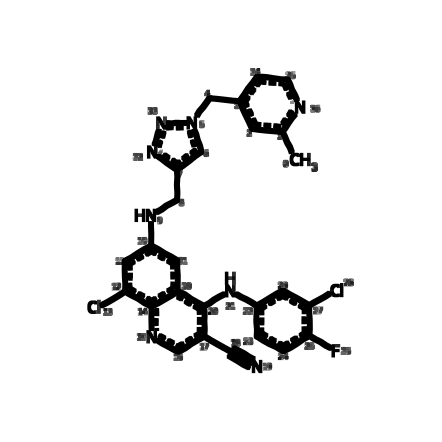 Cc1cc(Cn2cc(CNc3cc(Cl)c4ncc(C#N)c(Nc5ccc(F)c(Cl)c5)c4c3)nn2)ccn1